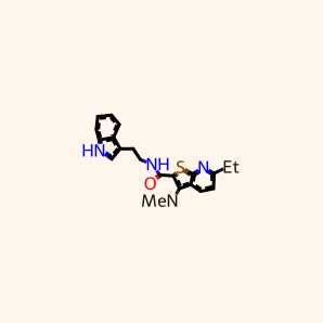 CCc1ccc2c(NC)c(C(=O)NCCc3c[nH]c4ccccc34)sc2n1